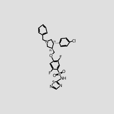 O=S(=O)(Nc1ncns1)c1cc(F)c(OC[C@H]2CN(Cc3ccccc3)C[C@@H]2c2ccc(Cl)cc2)cc1F